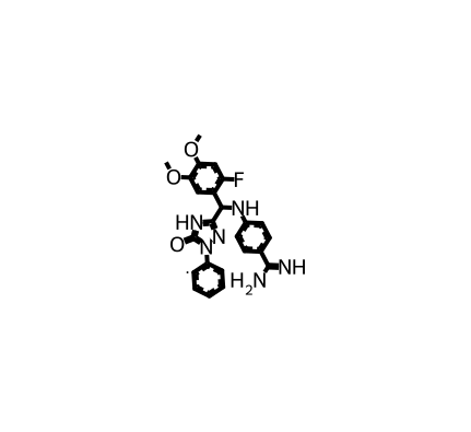 COc1cc(F)c(C(Nc2ccc(C(=N)N)cc2)c2nn(-c3[c]cccc3)c(=O)[nH]2)cc1OC